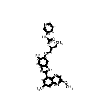 CCC(COc1cc2sc(-c3cc(C)cc4nc(OC)cnc34)nc2cc1F)OC(=O)Nc1cccnc1